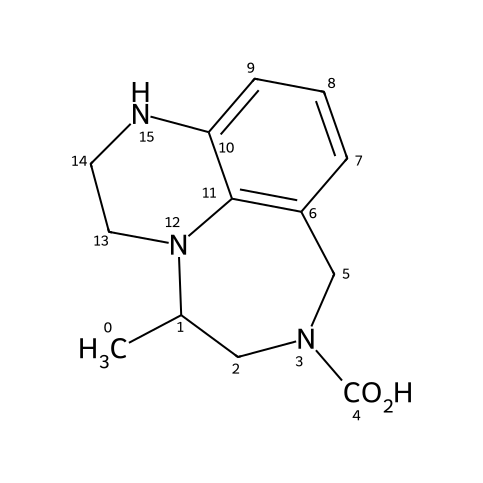 CC1CN(C(=O)O)Cc2cccc3c2N1CCN3